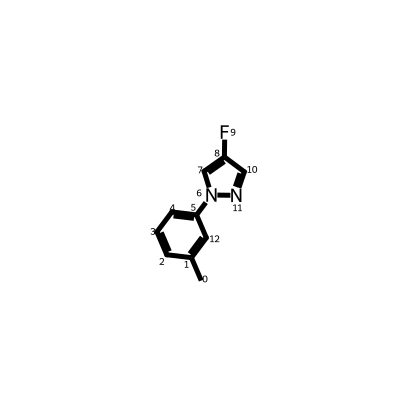 Cc1cccc(-n2cc(F)cn2)c1